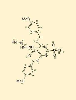 COc1ccc(COc2nc(S(C)(=O)=O)nc(OCc3ccc(OC)cc3)c2C(=O)NNN=N)cc1